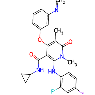 C=Nc1cccc(Oc2c(C(=O)NC3CC3)c(Nc3ccc(I)cc3F)n(C)c(=O)c2C)c1